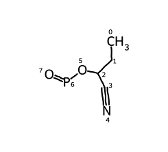 CCC(C#N)OP=O